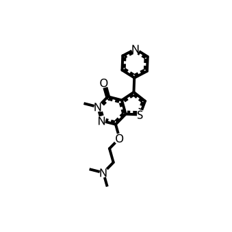 CN(C)CCOc1nn(C)c(=O)c2c(-c3ccncc3)csc12